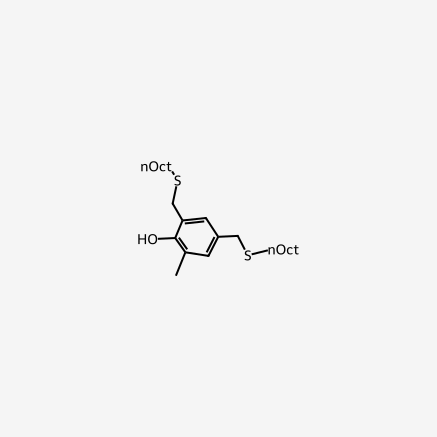 CCCCCCCCSCc1cc(C)c(O)c(CSCCCCCCCC)c1